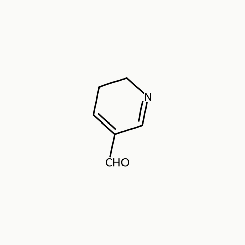 O=CC1=CCCN=C1